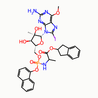 COc1nc(N)nc2c1nc(I)n2[C@@H]1O[C@H](COP(=O)(NC(C)C(=O)OC2Cc3ccccc3C2)Oc2cccc3ccccc23)[C@@H](O)[C@@]1(C)O